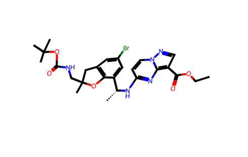 CCOC(=O)c1cnn2ccc(N[C@H](C)c3cc(Br)cc4c3OC(C)(CNC(=O)OC(C)(C)C)C4)nc12